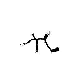 C=CC(=N)C(C)(C)O